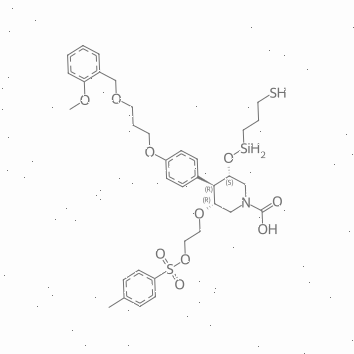 COc1ccccc1COCCCOc1ccc([C@@H]2[C@@H](OCCOS(=O)(=O)c3ccc(C)cc3)CN(C(=O)O)C[C@H]2O[SiH2]CCCS)cc1